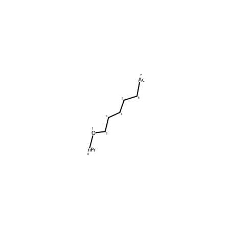 CCCOCCCCCC(C)=O